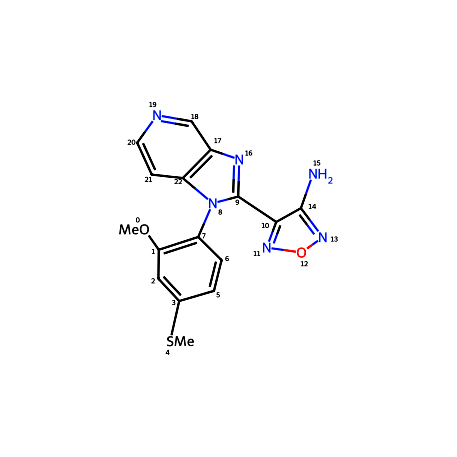 COc1cc(SC)ccc1-n1c(-c2nonc2N)nc2cnccc21